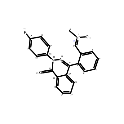 C/[N+]([O-])=C/c1ccccc1-c1nn(-c2ccc(F)cc2)c(=O)c2ccccc12